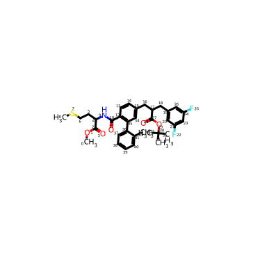 COC(=O)C(CCSC)NC(=O)c1ccc(CC(Cc2cc(F)cc(F)c2)C(=O)OC(C)(C)C)cc1-c1ccccc1C